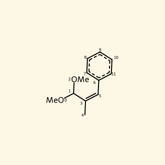 COC(OC)C(C)=Cc1ccccc1